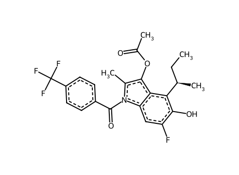 CC[C@@H](C)c1c(O)c(F)cc2c1c(OC(C)=O)c(C)n2C(=O)c1ccc(C(F)(F)F)cc1